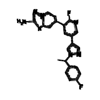 CC(c1ccc(F)cc1)n1cc(-c2cnc(F)c(-c3ccn4nc(N)nc4c3)c2)cn1